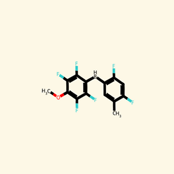 COc1c(F)c(F)c(Bc2cc(C)c(F)cc2F)c(F)c1F